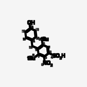 CC(C)(C)c1cc(S(=O)(=O)O)c([N+](=O)[O-])c(C(C)(C)C)c1Cc1ccc(O)cc1